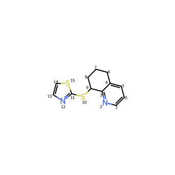 c1cnc2c(c1)CCCC2Sc1nccs1